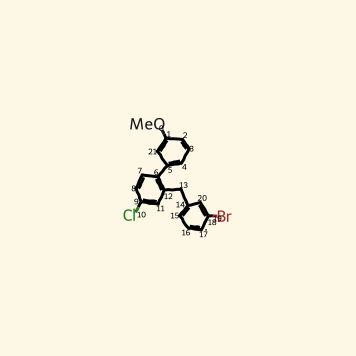 COc1cccc(-c2ccc(Cl)cc2Cc2cc[c]c(Br)c2)c1